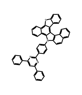 c1ccc(-c2cc(-c3ccccc3)nc(-c3ccc(-n4c5ccc6ccccc6c5c5c6c7ccccc7sc6c6ccccc6c54)cc3)n2)cc1